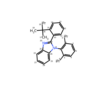 CC(C)c1cccc(C(C)C)c1-n1c(-c2ccccc2C(C)(C)C(C)C)nc2ccccc21